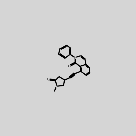 CN1CC(C#Cc2cccc3ccn(-c4ccccc4)c(=O)c23)CC1=O